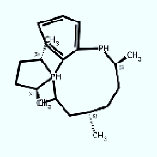 C[C@H]1CC[C@H](C)Pc2ccccc2[PH]2(C(Cl)C1)[C@@H](C)CC[C@@H]2C